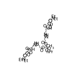 CCCOC(=O)C(C)(COC(=O)CCc1cn(CCCNC(=O)c2cc3ccc(N(CC)CC)cc3oc2=O)nn1)COC(=O)CCc1cn(CCCNC(=O)c2cc3ccc(N(CC)CC)cc3oc2=O)nn1